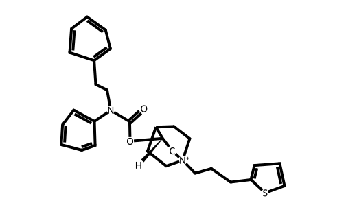 O=C(O[C@H]1C[N+]2(CCCc3cccs3)CCC1CC2)N(CCc1ccccc1)c1ccccc1